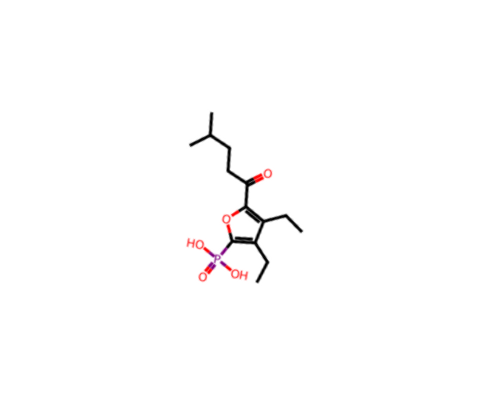 CCc1c(C(=O)CCC(C)C)oc(P(=O)(O)O)c1CC